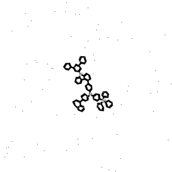 c1ccc(-c2cc(-c3ccccc3)cc(-n3c4ccccc4c4c(-c5ccc(N(c6ccc(-c7cccc8ccccc78)cc6)c6ccc([Si](c7ccccc7)(c7ccccc7)c7ccccc7)cc6)cc5)cccc43)c2)cc1